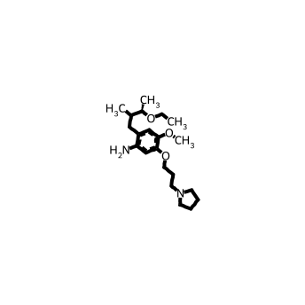 CCO[C@H](C)C(C)Cc1cc(OC)c(OCCCN2CCCC2)cc1N